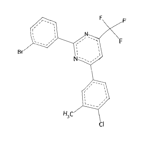 Cc1cc(-c2cc(C(F)(F)F)nc(-c3cccc(Br)c3)n2)ccc1Cl